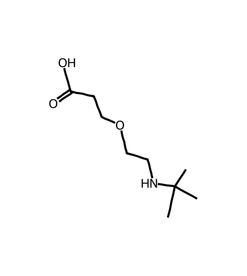 CC(C)(C)NCCOCCC(=O)O